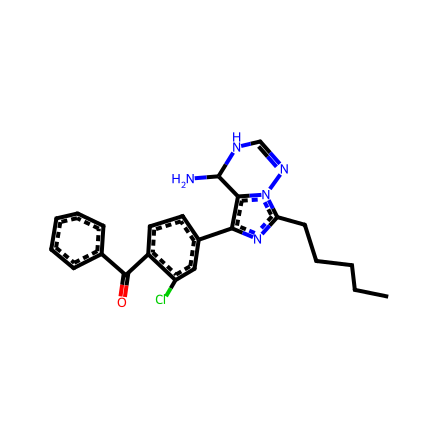 CCCCCc1nc(-c2ccc(C(=O)c3ccccc3)c(Cl)c2)c2n1N=CNC2N